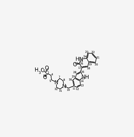 CS(=O)(=O)CCN1CCN(Cc2ccc3[nH]c(-c4cc5ccccc5[nH]c4=O)cc3c2)CC1